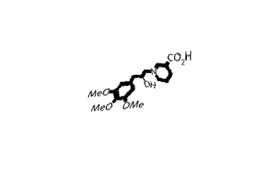 COc1cc(C[C@@H](O)CN2CCCC(C(=O)O)C2)cc(OC)c1OC